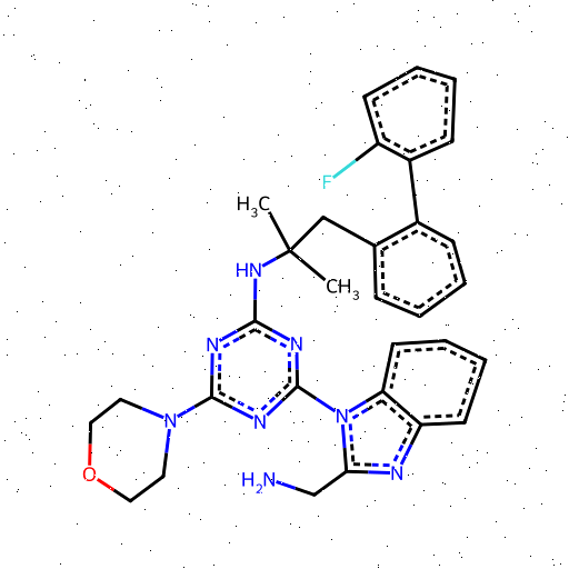 CC(C)(Cc1ccccc1-c1ccccc1F)Nc1nc(N2CCOCC2)nc(-n2c(CN)nc3ccccc32)n1